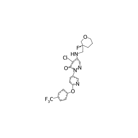 O=c1c(Cl)c(NC[C@@]2(F)CCCOC2)cnn1-c1ccc(Oc2ccc(C(F)(F)F)cc2)nc1